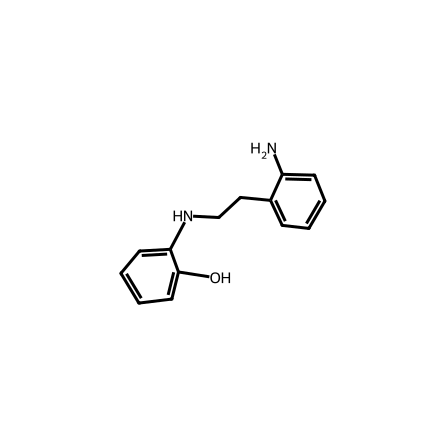 Nc1ccccc1CCNc1ccccc1O